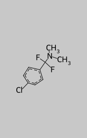 CN(C)C(F)(F)c1ccc(Cl)cc1